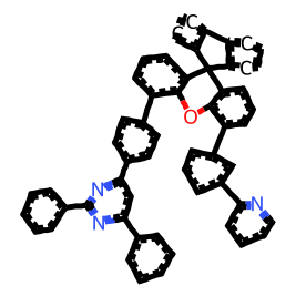 c1ccc(-c2cc(-c3ccc(-c4cccc5c4Oc4c(-c6cccc(-c7ccccn7)c6)cccc4C54c5ccccc5-c5ccccc54)cc3)nc(-c3ccccc3)n2)cc1